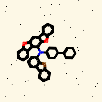 C1=CC(C2C=CC(N(c3cccc4c3sc3ccccc34)c3c4oc5ccccc5c4cc4oc5ccccc5c34)=CC2)=CCC1